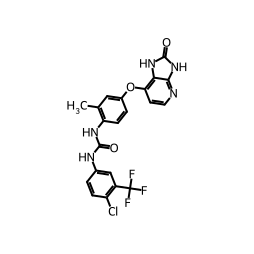 Cc1cc(Oc2ccnc3[nH]c(=O)[nH]c23)ccc1NC(=O)Nc1ccc(Cl)c(C(F)(F)F)c1